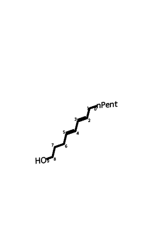 CCCCCC/C=C/C=C/CCCO